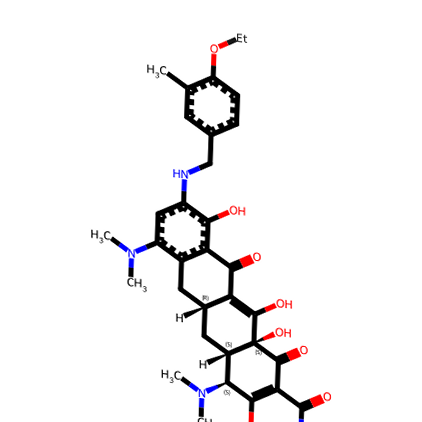 CCOc1ccc(CNc2cc(N(C)C)c3c(c2O)C(=O)C2=C(O)[C@]4(O)C(=O)C(C(N)=O)=C(O)[C@@H](N(C)C)[C@@H]4C[C@@H]2C3)cc1C